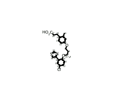 Cc1cc(OCC[C@H](C)Oc2ccc(Cl)cc2-c2cscn2)ccc1CCC(=O)O